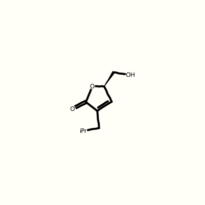 CC(C)CC1=C[C@H](CO)OC1=O